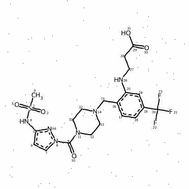 CS(=O)(=O)Nc1ccn(C(=O)N2CCN(Cc3ccc(C(F)(F)F)cc3NCCC(=O)O)CC2)n1